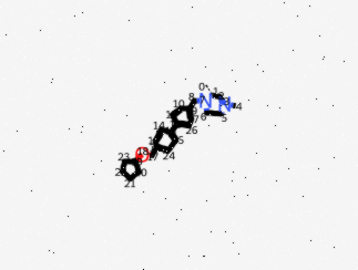 C[C@@H]1CN(C)CCN1Cc1ccc(-c2ccc(COC3CCCC3)cc2)cc1